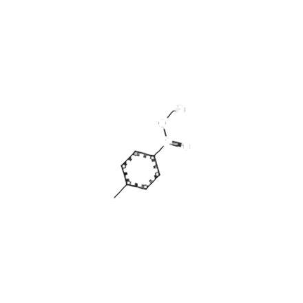 Cc1ccc(S(=O)OC(C)C)cc1